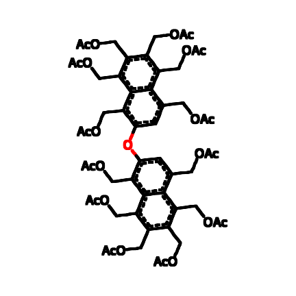 CC(=O)OCc1c(COC(C)=O)c(COC(C)=O)c2c(COC(C)=O)c(Oc3cc(COC(C)=O)c4c(COC(C)=O)c(COC(C)=O)c(COC(C)=O)c(COC(C)=O)c4c3COC(C)=O)cc(COC(C)=O)c2c1COC(C)=O